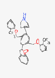 FC(F)(F)c1ccccc1OCc1cc(-c2cc3ccccc3o2)c(COc2ccccc2C(F)(F)F)cc1C1=CCNCC1